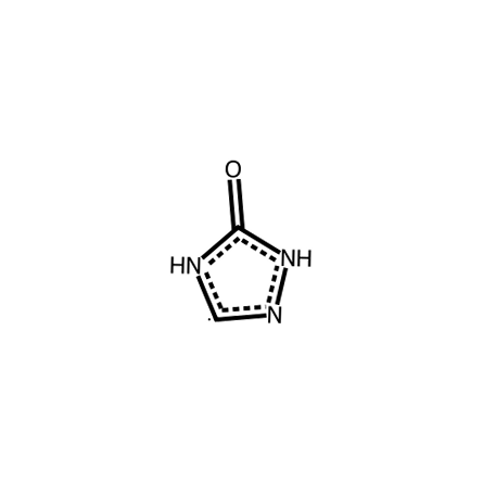 O=c1[nH][c]n[nH]1